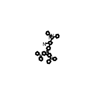 N#Cc1cc(-c2cc(-c3ccccc3)nc(-c3ccccc3)n2)ccc1-c1ccc(-n2c3ccc(N(c4ccccc4)c4ccccc4)cc3c3cc(N(c4ccccc4)c4ccccc4)ccc32)cc1